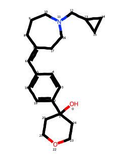 OC1(c2ccc(/C=C3/CCCN(CC4CC4)CC3)cc2)CCOCC1